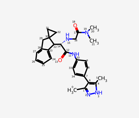 Cc1n[nH]c(C)c1-c1ccc(NC(=O)[C@@H](NCC(=O)N(C)C)C2c3ccccc3CC23CC3)cc1